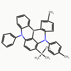 Cc1ccc(N2c3ccc(C)cc3B3c4ccccc4N(c4ccccc4)c4ccc([Si](C)(C)C)c2c43)cc1